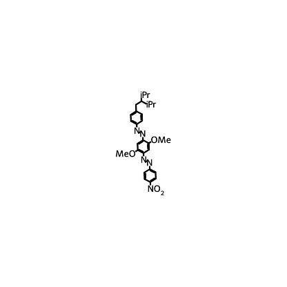 COc1cc(/N=N/c2ccc([N+](=O)[O-])cc2)c(OC)cc1/N=N/c1ccc(CC(C(C)C)C(C)C)cc1